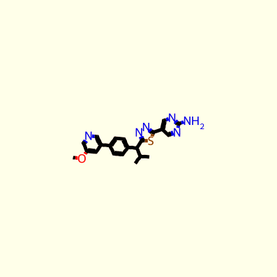 COc1cncc(-c2ccc(C(c3nnc(-c4cnc(N)nc4)s3)C(C)C)cc2)c1